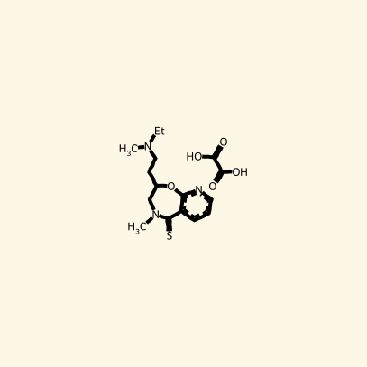 CCN(C)CCC1CN(C)C(=S)c2cccnc2O1.O=C(O)C(=O)O